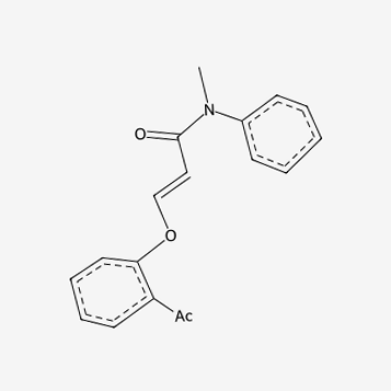 CC(=O)c1ccccc1OC=CC(=O)N(C)c1ccccc1